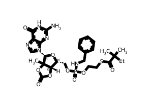 CCC(C)(C)C(=O)SCCOP(=O)(NCc1ccccc1)OC[C@H]1O[C@@H](n2cnc3c(=O)[nH]c(N)nc32)C2(C)OC(=O)O[C@@H]12